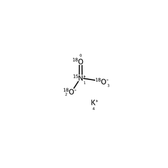 [18O]=[15N+]([18O-])[18O-].[K+]